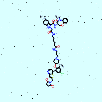 Cc1cc(Cl)cc(-c2ccnc3cc(CN4C(=O)CCC4=O)sc23)c1OC1CCN(CCCNC(=O)CCCCCNC(=O)Cn2nc3c(c2C(=O)N[C@H]2COc4ccccc4N(C)C2=O)C[C@H](C)CC3)CC1